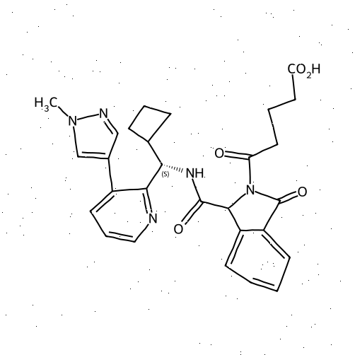 Cn1cc(-c2cccnc2[C@@H](NC(=O)C2c3ccccc3C(=O)N2C(=O)CCCC(=O)O)C2CCC2)cn1